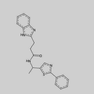 CC(NC(=O)CCc1nc2ccccc2[nH]1)c1cnc(-c2ccccc2)s1